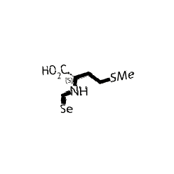 CSCC[C@H](NC=[Se])C(=O)O